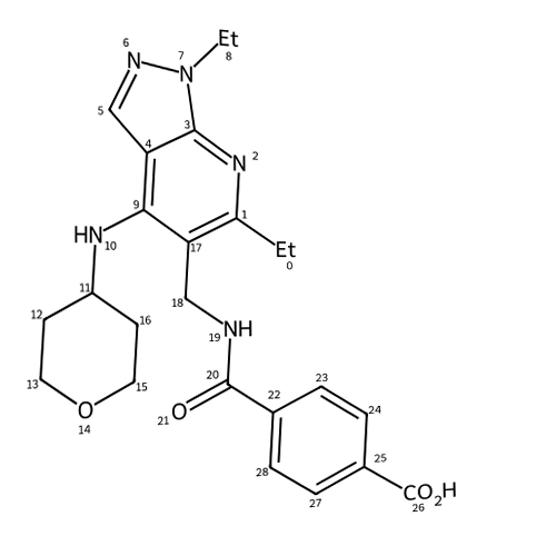 CCc1nc2c(cnn2CC)c(NC2CCOCC2)c1CNC(=O)c1ccc(C(=O)O)cc1